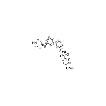 COc1ccc(S(=O)(=O)NCc2cccc(-c3cccc(CN4CCNCC4)c3)c2)cc1